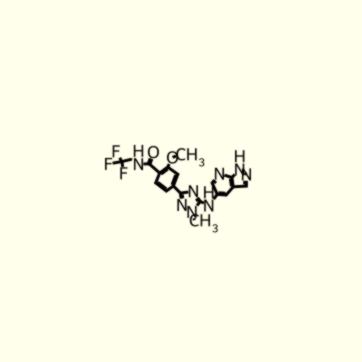 COc1cc(-c2nc(Nc3cnc4[nH]ncc4c3)n(C)n2)ccc1C(=O)NCC(F)(F)F